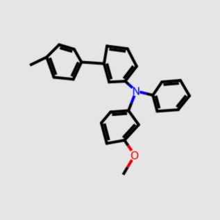 COc1cccc(N(c2ccccc2)c2cccc(-c3ccc(C)cc3)c2)c1